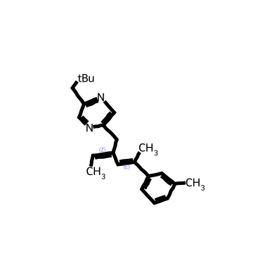 C/C=C(\C=C(/C)c1cccc(C)c1)Cc1cnc(CC(C)(C)C)cn1